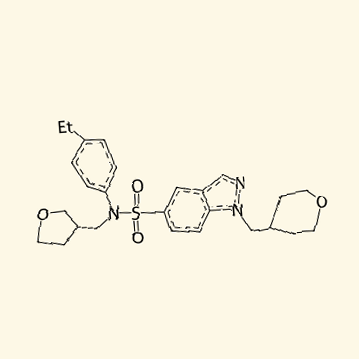 CCc1ccc(N(CC2CCOC2)S(=O)(=O)c2ccc3c(cnn3CC3CCOCC3)c2)cc1